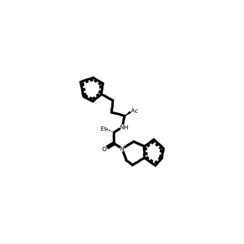 CC[C@H](N[C@@H](CCc1ccccc1)C(C)=O)C(=O)N1CCc2ccccc2C1